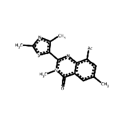 CC(=O)c1cc(C)cc2c(=O)n(C)c(-c3sc(C)nc3C)nc12